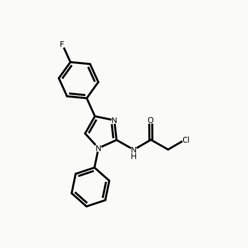 O=C(CCl)Nc1nc(-c2ccc(F)cc2)cn1-c1ccccc1